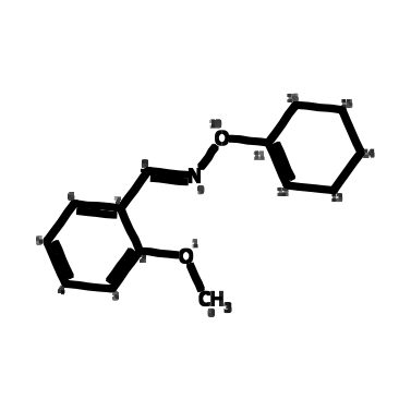 COc1ccccc1[C]=NOC1=CCCCC1